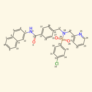 O=C(Nc1ccc2ccccc2c1)c1ccc(CN(Cc2ccccn2)S(=O)(=O)c2ccc(Cl)cc2)cc1